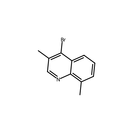 Cc1cnc2c(C)cccc2c1Br